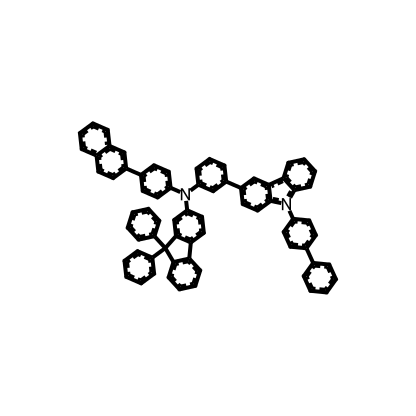 c1ccc(-c2ccc(-n3c4ccccc4c4cc(-c5cccc(N(c6ccc(-c7ccc8ccccc8c7)cc6)c6ccc7c(c6)C(c6ccccc6)(c6ccccc6)c6ccccc6-7)c5)ccc43)cc2)cc1